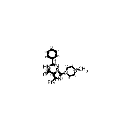 CCc1nc(N2CCN(C)CC2)n2nc(-c3ccccc3)[nH]c(=O)c12